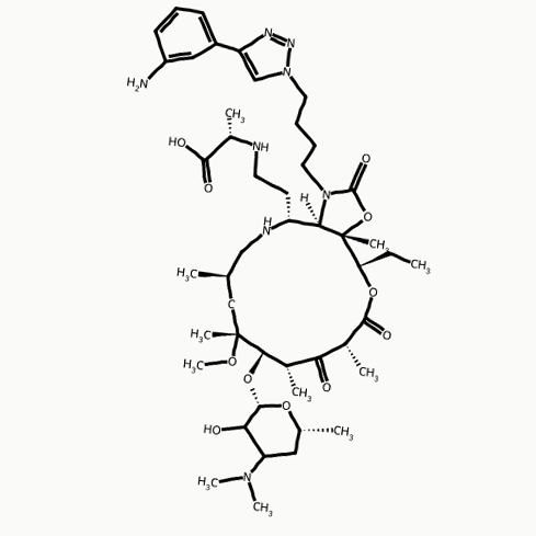 CC[C@H]1OC(=O)[C@H](C)C(=O)[C@H](C)[C@@H](O[C@@H]2O[C@H](C)CC(N(C)C)C2O)[C@](C)(OC)C[C@@H](C)CN[C@H](CCN[C@@H](C)C(=O)O)[C@H]2N(CCCCn3cc(-c4cccc(N)c4)nn3)C(=O)O[C@]12C